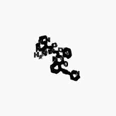 C[C@H](NC(=O)c1c(N)ncn2ccnc12)c1nc2cccc(C#Cc3cccnc3)c2c(=O)n1-c1ccccc1